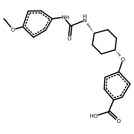 COc1ccc(NC(=O)N[C@H]2CC[C@@H](Oc3ccc(C(=O)O)cc3)CC2)cc1